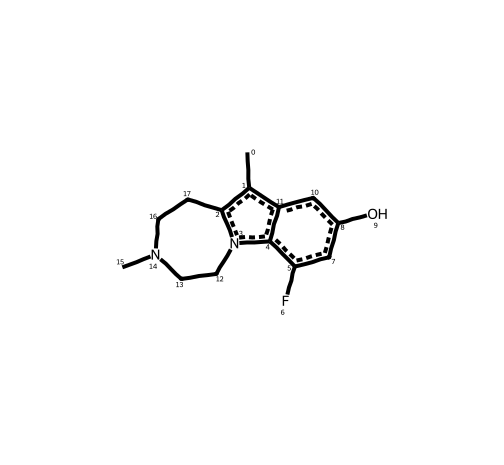 Cc1c2n(c3c(F)cc(O)cc13)CCN(C)CC2